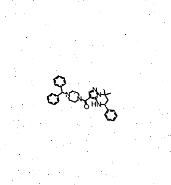 CC1(C)CC(c2ccccc2)Nc2c(C(=O)N3CCN(C(c4ccccc4)c4ccccc4)CC3)cnn21